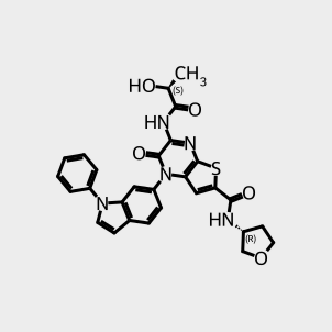 C[C@H](O)C(=O)Nc1nc2sc(C(=O)N[C@@H]3CCOC3)cc2n(-c2ccc3ccn(-c4ccccc4)c3c2)c1=O